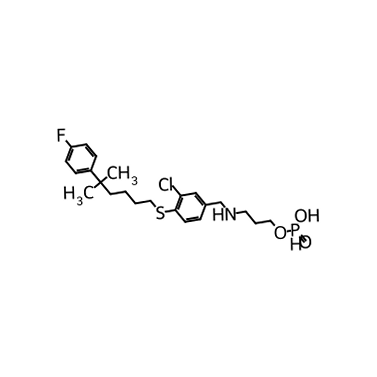 CC(C)(CCCCSc1ccc(CNCCCO[PH](=O)O)cc1Cl)c1ccc(F)cc1